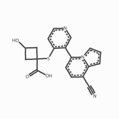 N#Cc1ccc(-c2cnccc2SC2(C(=O)O)CC(O)C2)n2cccc12